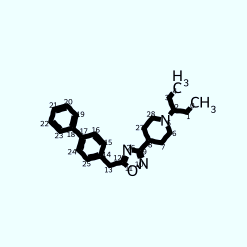 CCC(CC)N1CCC(c2noc(Cc3ccc(-c4ccccc4)cc3)n2)CC1